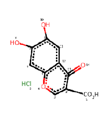 Cl.O=C(O)c1coc2cc(O)c(O)cc2c1=O